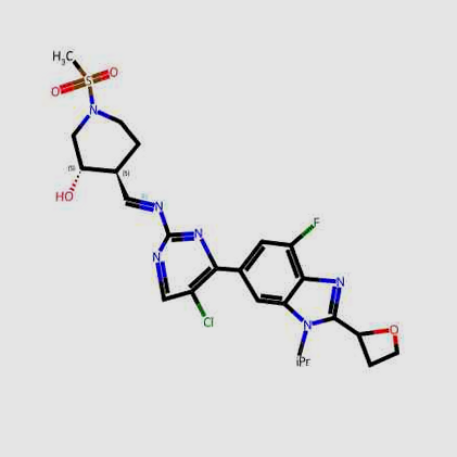 CC(C)n1c(C2CCO2)nc2c(F)cc(-c3nc(/N=C/[C@@H]4CCN(S(C)(=O)=O)C[C@H]4O)ncc3Cl)cc21